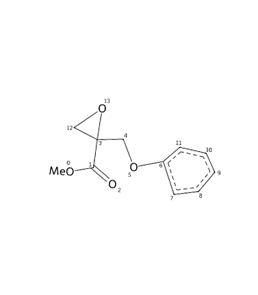 COC(=O)C1(COc2ccccc2)CO1